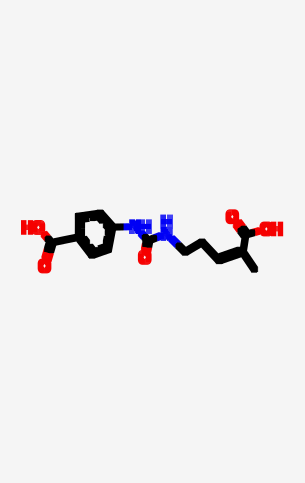 CC(=CCCNC(=O)Nc1ccc(C(=O)O)cc1)C(=O)O